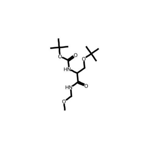 COCNC(=O)C(COC(C)(C)C)NC(=O)OC(C)(C)C